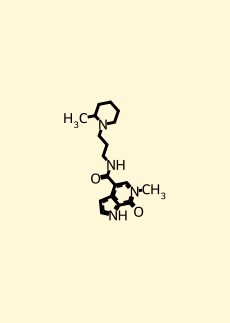 CC1CCCCN1CCCNC(=O)c1cn(C)c(=O)c2[nH]ccc12